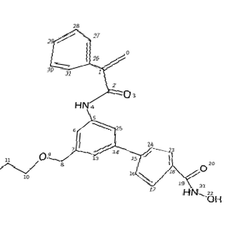 C=C(C(=O)Nc1cc(COCCC)cc(-c2ccc(C(=O)NO)cc2)c1)c1ccccc1